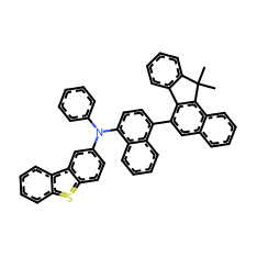 CC1(C)c2ccccc2-c2c(-c3ccc(N(c4ccccc4)c4ccc5sc6ccccc6c5c4)c4ccccc34)cc3ccccc3c21